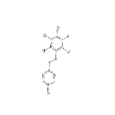 Clc1c(Cl)c(Cl)c(SSc2ccc(Br)cc2)c(Cl)c1Cl